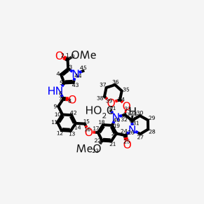 COC(=O)c1cc(NC(=O)Cc2cccc(COc3cc4c(cc3OC)C(=O)N3CCCC[C@H]3[C@H](OC3CCCCO3)N4C(=O)O)c2)cn1C